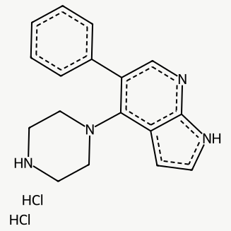 Cl.Cl.c1ccc(-c2cnc3[nH]ccc3c2N2CCNCC2)cc1